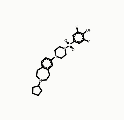 O=S(=O)(c1cc(Cl)c(O)c(Cl)c1)N1CCN(c2ccc3c(c2)CCN(C2CCCC2)CC3)CC1